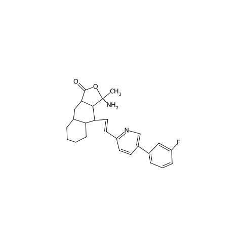 CC1(N)OC(=O)C2CC3CCCCC3C(C=Cc3ccc(-c4cccc(F)c4)cn3)C21